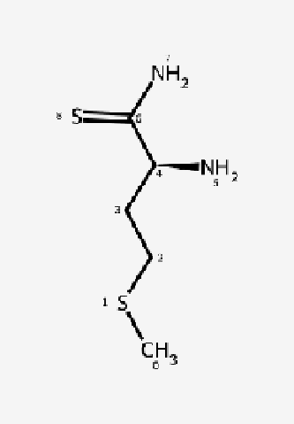 CSCC[C@H](N)C(N)=S